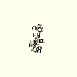 Cl.Cl.O=c1cc(NCCCNCc2ccc(Cl)c(Cl)c2)[nH]c2cccc(Cl)c12